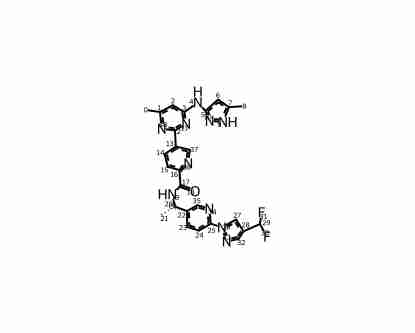 Cc1cc(Nc2cc(C)[nH]n2)nc(-c2ccc(C(=O)N[C@@H](C)c3ccc(-n4cc(C(F)F)cn4)nc3)nc2)n1